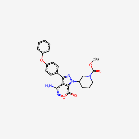 CC(C)(C)OC(=O)N1CCCC(n2nc(-c3ccc(Oc4ccccc4)cc3)c3c(N)noc(=O)c32)C1